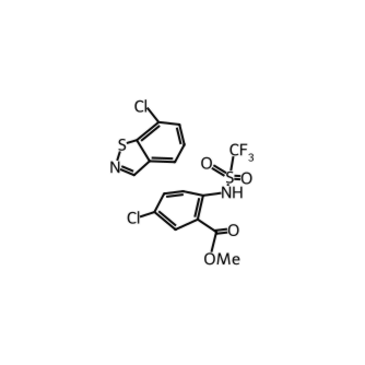 COC(=O)c1cc(Cl)ccc1NS(=O)(=O)C(F)(F)F.Clc1cccc2cnsc12